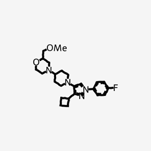 COCC1CN(C2CCN(c3cn(-c4ccc(F)cc4)nc3C3CCC3)CC2)CCO1